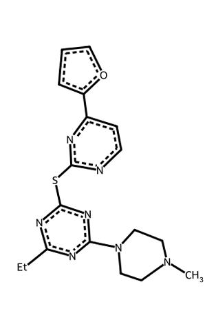 CCc1nc(Sc2nccc(-c3ccco3)n2)nc(N2CCN(C)CC2)n1